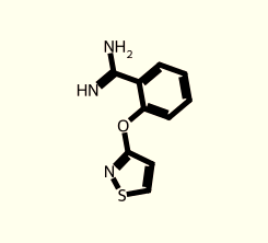 N=C(N)c1ccccc1Oc1ccsn1